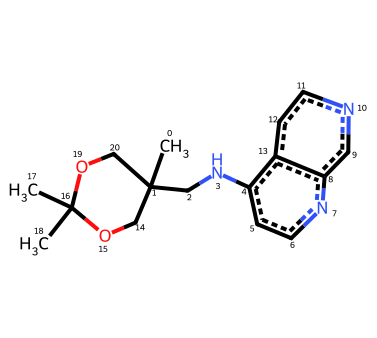 CC1(CNc2ccnc3cnccc23)COC(C)(C)OC1